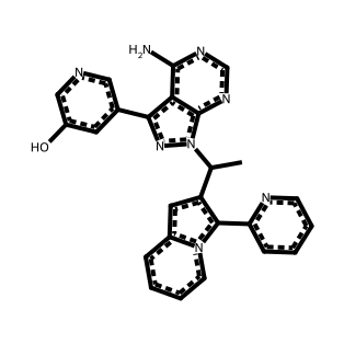 CC(c1cc2ccccn2c1-c1ccccn1)n1nc(-c2cncc(O)c2)c2c(N)ncnc21